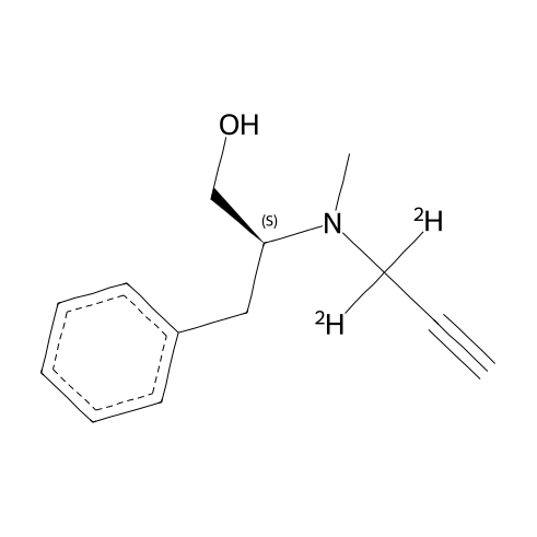 [2H]C([2H])(C#C)N(C)[C@H](CO)Cc1ccccc1